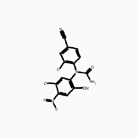 N#Cc1ccc(N(C(N)=O)c2cc(Cl)c([N+](=O)[O-])cc2O)c(Cl)c1